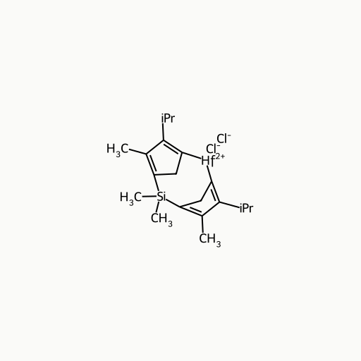 CC1=C2C[C](=C1C(C)C)[Hf+2][C]1=C(C(C)C)C(C)=C(C1)[Si]2(C)C.[Cl-].[Cl-]